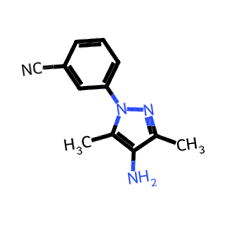 Cc1nn(-c2cccc(C#N)c2)c(C)c1N